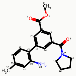 COC(=O)c1cc(C(=O)N2CCCC2)cc(-c2ccc(C)cc2N)c1